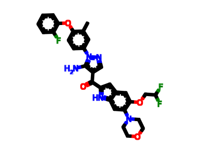 Cc1cc(-n2ncc(C(=O)c3cc4cc(OCC(F)F)c(N5CCOCC5)cc4[nH]3)c2N)ccc1Oc1ccccc1F